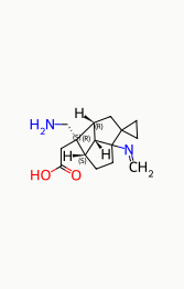 C=NC12CC[C@H]3[C@@H]1[C@@H](CC21CC1)[C@]3(CN)CC(=O)O